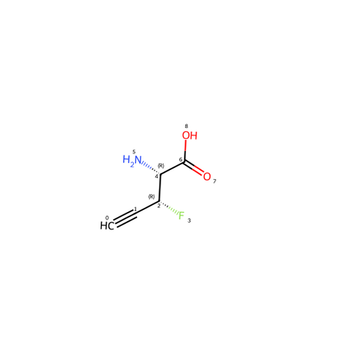 C#C[C@@H](F)[C@H](N)C(=O)O